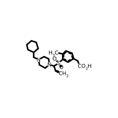 C=CC(N1CCN(CC2CCCCC2)CC1)S(=O)(=O)c1cc(CC(=O)O)ccc1C